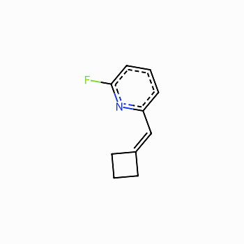 Fc1cccc(C=C2CCC2)n1